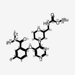 CCN(C(=O)c1cc(F)ccc1Oc1cncnc1N1CCOC(CNC(=O)OC(C)(C)C)C1)C(C)C